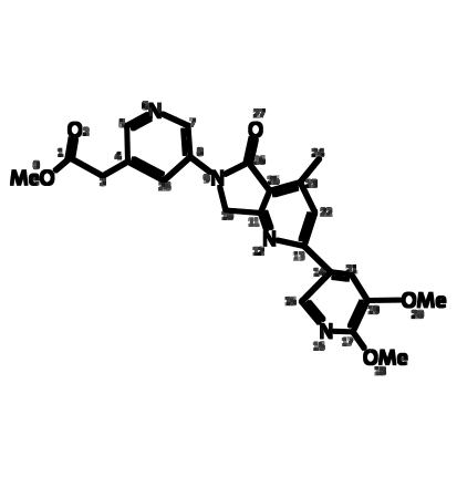 COC(=O)Cc1cncc(N2Cc3nc(-c4cnc(OC)c(OC)c4)cc(C)c3C2=O)c1